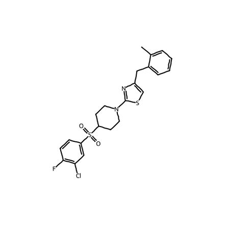 Cc1ccccc1Cc1csc(N2CCC(S(=O)(=O)c3ccc(F)c(Cl)c3)CC2)n1